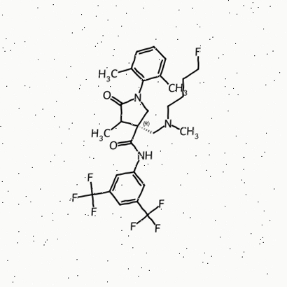 Cc1cccc(C)c1N1C[C@@](CN(C)CCCCF)(C(=O)Nc2cc(C(F)(F)F)cc(C(F)(F)F)c2)C(C)C1=O